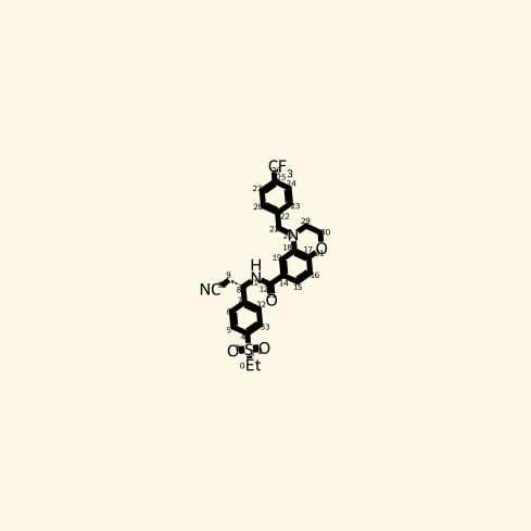 CCS(=O)(=O)c1ccc([C@H](CC#N)NC(=O)c2ccc3c(c2)N(Cc2ccc(C(F)(F)F)cc2)CCO3)cc1